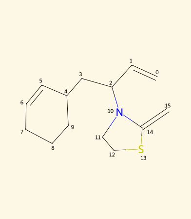 C=CC(CC1C=CCCC1)N1CCSC1=C